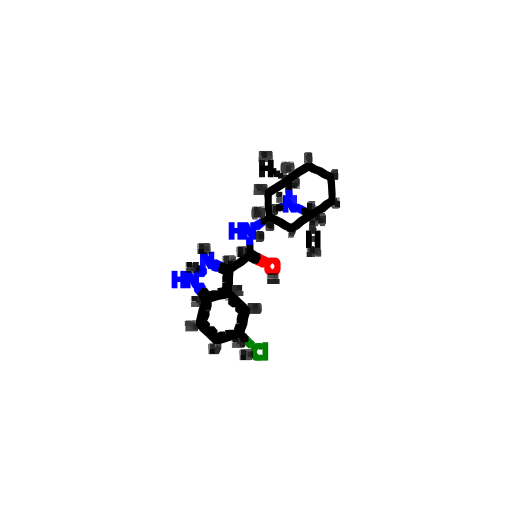 CN1[C@@H]2CCC[C@H]1C[C@@H](NC(=O)c1n[nH]c3ccc(Cl)cc13)C2